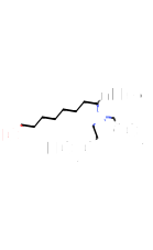 CCCCCCC(CCCCCCCO)N(CCC(=O)O)CC(=O)O